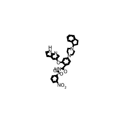 O=C(NS(=O)(=O)c1cccc([N+](=O)[O-])c1)c1ccc(N2CCN(C3CCc4ccccc43)CC2)cc1Oc1cnc2[nH]ccc2c1